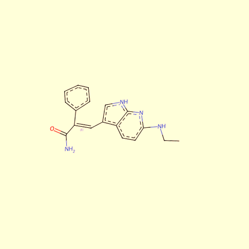 CCNc1ccc2c(/C=C(/C(N)=O)c3ccccc3)c[nH]c2n1